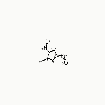 CC1CN(N=O)CN1N=O